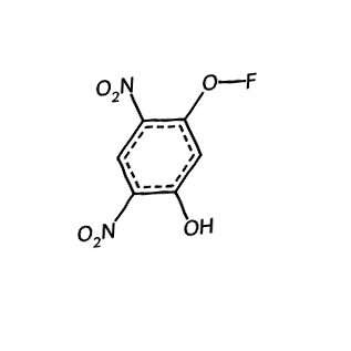 O=[N+]([O-])c1cc([N+](=O)[O-])c(OF)cc1O